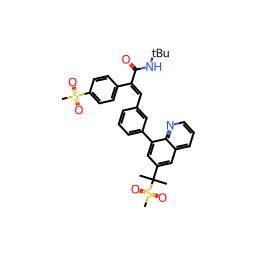 CC(C)(C)NC(=O)/C(=C/c1cccc(-c2cc(C(C)(C)S(C)(=O)=O)cc3cccnc23)c1)c1ccc(S(C)(=O)=O)cc1